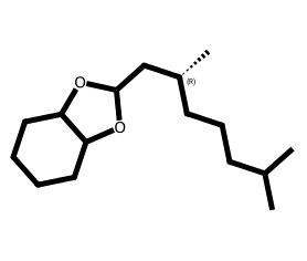 CC(C)CCC[C@@H](C)CC1OC2CCCCC2O1